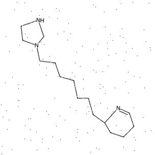 [CH](CCCCC1CCCC=N1)CCN1CCNC1